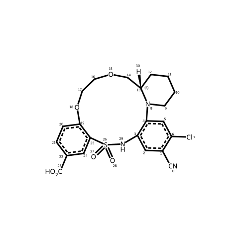 N#Cc1cc2c(cc1Cl)N1CCCC[C@H]1COCCOc1ccc(C(=O)O)cc1S(=O)(=O)N2